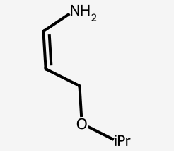 CC(C)OC/C=C\N